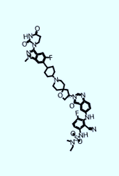 CCN(C)S(=O)(=O)Nc1ccc(F)c(Nc2ccc3ncn([C@H]4COC5(CCN(C6CCC(c7cc8c(cc7F)c(N7CCC(=O)NC7=O)nn8C)CC6)CC5)C4)c(=O)c3c2)c1C#N